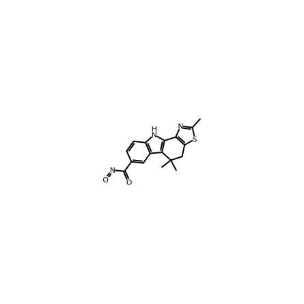 Cc1nc2c(s1)CC(C)(C)c1c-2[nH]c2ccc(C(=O)N=O)cc12